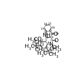 COc1cc(N(C)C(=O)c2c[nH]c3ccccc3c2=O)c(C(C)(C)C)cc1C(C)(C)C